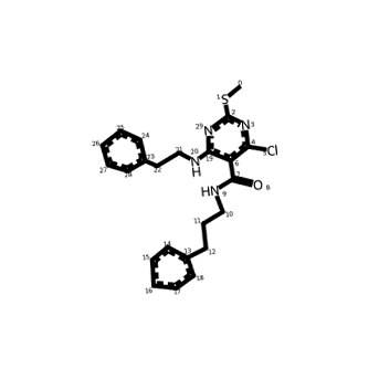 CSc1nc(Cl)c(C(=O)NCCCc2ccccc2)c(NCCc2ccccc2)n1